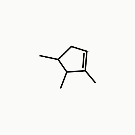 CC1=[C]CC(C)C1C